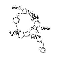 COc1ccc2cc1Oc1ccc(cc1)C[C@H]1c3cc(c(OC)cc3CCN1C)Oc1c(OCC(O)CNCc3ccco3)c(OC)cc3c1[C@H](C2)N(C)CC3